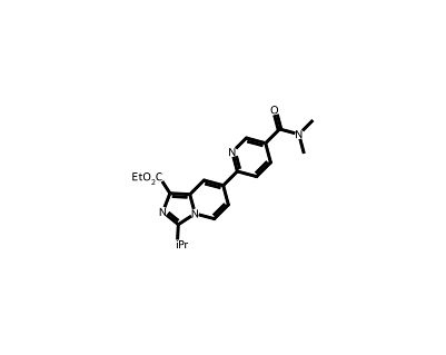 CCOC(=O)c1nc(C(C)C)n2ccc(-c3ccc(C(=O)N(C)C)cn3)cc12